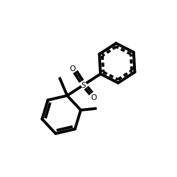 CC1C=CC=CC1(C)S(=O)(=O)c1ccccc1